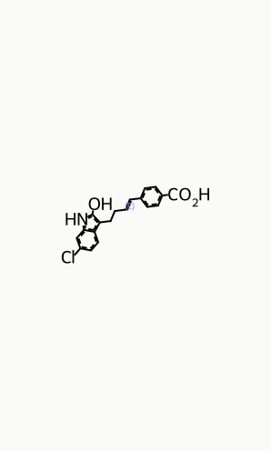 O=C(O)c1ccc(/C=C/CCc2c(O)[nH]c3cc(Cl)ccc23)cc1